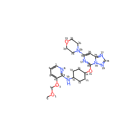 COCOc1cccnc1NC1CCC(Oc2nc(N3CCOCC3)cc3ncnn23)CC1